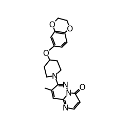 Cc1cc2nccc(=O)n2nc1N1CCC(Oc2ccc3c(c2)OCCO3)CC1